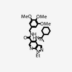 CCn1ncc2c(N[C@H](C)C3CCCCC3)c(C(=O)NCc3cc(OC)c(OC)c(OC)c3)cnc21